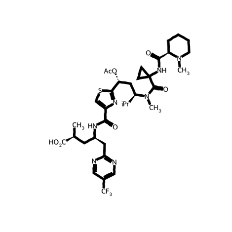 CC(=O)O[C@H](C[C@H](C(C)C)N(C)C(=O)C1(NC(=O)[C@H]2CCCCN2C)CC1)c1nc(C(=O)N[C@@H](Cc2ncc(C(F)(F)F)cn2)C[C@H](C)C(=O)O)cs1